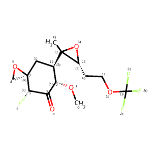 CO[C@@H]1C(=O)[C@H](F)[C@]2(CO2)C[C@H]1C1(C)O[C@@H]1CCOC(F)(F)F